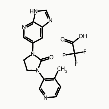 Cc1ccncc1N1CCN(c2cnc3[nH]cnc3c2)C1=O.O=C(O)C(F)(F)F